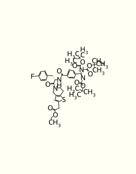 CCOC(=O)Cc1cc2c(s1)CCN(C(=O)[C@H](Cc1ccc(F)cc1)NC(=O)c1ccc(C(=NC(=O)OC(C)(C)C)N(C(=O)OC(C)(C)C)C(=O)OC(C)(C)C)cc1)C2